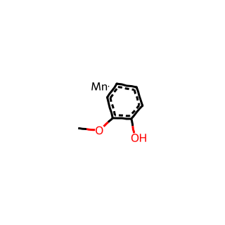 COc1ccccc1O.[Mn]